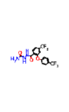 NC(=O)NNC(=O)c1ccc(C(F)(F)F)cc1Oc1ccc(C(F)(F)F)cc1